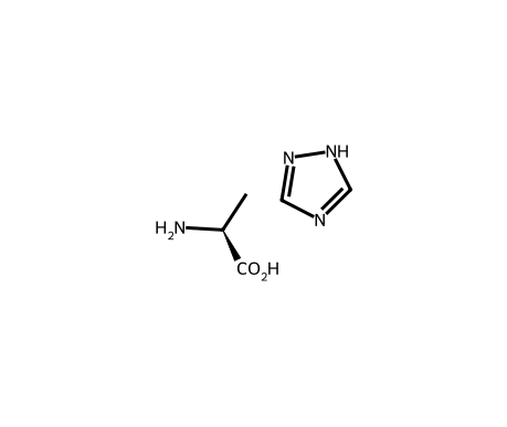 C[C@H](N)C(=O)O.c1nc[nH]n1